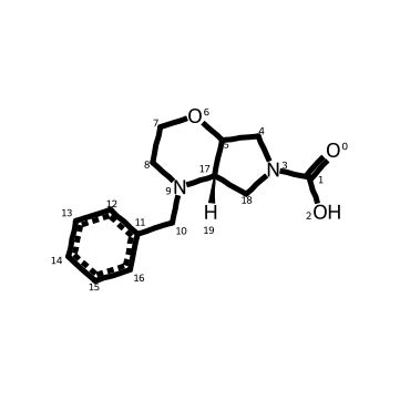 O=C(O)N1CC2OCCN(Cc3ccccc3)[C@H]2C1